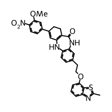 COc1cc(C2=CC3=C(CC2)C(=O)Nc2cc(CCOc4cccc5nc(C)sc45)ccc2N3)ccc1[N+](=O)[O-]